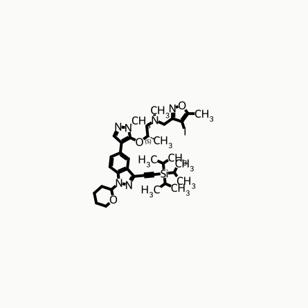 Cc1onc(CN(C)C[C@H](C)Oc2c(-c3ccc4c(c3)c(C#C[Si](C(C)C)(C(C)C)C(C)C)nn4C3CCCCO3)cnn2C)c1I